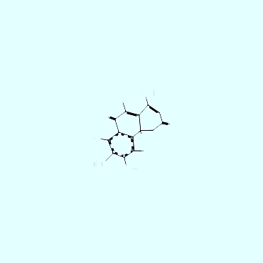 CC1=CC(=O)C[C@@]2(C)C1=C(O)C(=O)c1c(O)c(C(C)C)c(O)c(O)c12